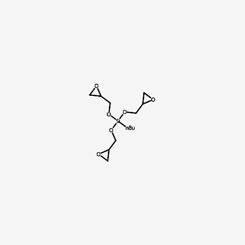 CCCC[Si](OCC1CO1)(OCC1CO1)OCC1CO1